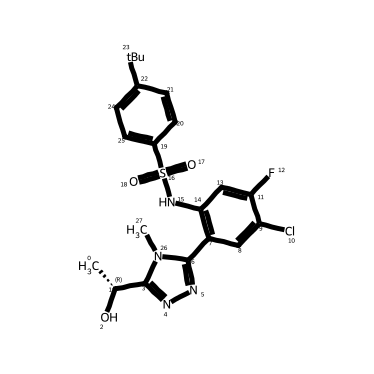 C[C@@H](O)c1nnc(-c2cc(Cl)c(F)cc2NS(=O)(=O)c2ccc(C(C)(C)C)cc2)n1C